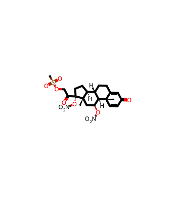 C[C@]12C=CC(=O)C=C1CC[C@@H]1[C@@H]2[C@@H](O[N+](=O)[O-])C[C@@]2(C)[C@H]1CC[C@]2(O[N+](=O)[O-])C(=O)COS(C)(=O)=O